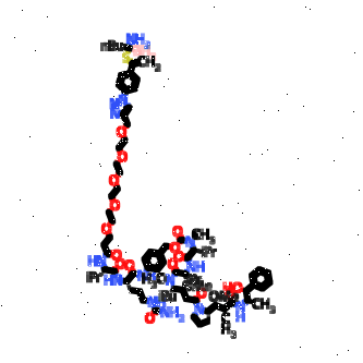 BC(N)(CCCC)SC(=C)c1ccc(-n2cc(COCCOCCOCCOCCOCCC(=O)N[C@H](C(=O)N[C@@H](CCCNC(N)=O)C(=O)Nc3ccc(COC(=O)N(C)[C@H](C(=O)NC(C(=O)N(C)[C@@H]([C@@H](C)CC)[C@@H](CC(=O)N4CCC[C@H]4[C@H](OC)[C@@H](C)C(=O)N[C@H](C)[C@@H](O)c4ccccc4)OC)C(C)C)C(C)C)cc3)C(C)C)nn2)cc1